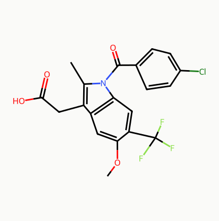 COc1cc2c(CC(=O)O)c(C)n(C(=O)c3ccc(Cl)cc3)c2cc1C(F)(F)F